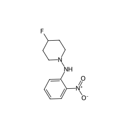 O=[N+]([O-])c1ccccc1NN1CCC(F)CC1